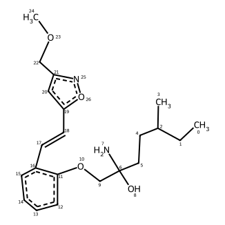 CCC(C)CCC(N)(O)COc1ccccc1C=Cc1cc(COC)no1